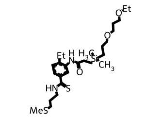 CCOCCCOCCC[Si](C)(C)CCC(=O)Nc1cc(C(=S)NCCCSC)ccc1CC